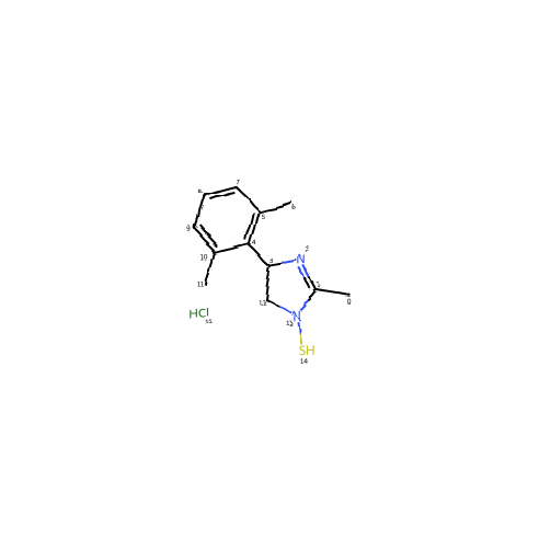 CC1=NC(c2c(C)cccc2C)CN1S.Cl